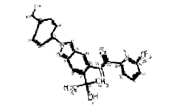 CC(C)(O)c1cc2nn(C3CCC(CI)CC3)cc2cc1NC(=O)c1cccc(C(F)(F)F)n1